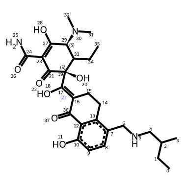 CCC(C)CNCc1ccc(O)c2c1CC/C(=C(/O)[C@]1(O)C(=O)C(C(N)=O)=C(O)[C@@H](N(C)C)C1CC)C2=O